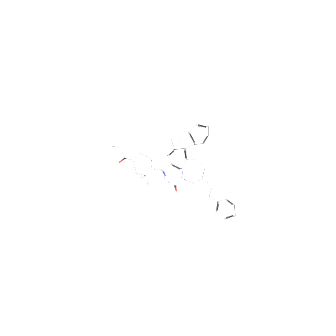 C[C@H]1CN(C(=O)OC(C)(C)C)CCN1c1nc(=O)n2c3c(c(-c4ccc(F)cc4F)c(C(F)(F)F)cc13)SC[C@@H](OCc1ccccc1)C2